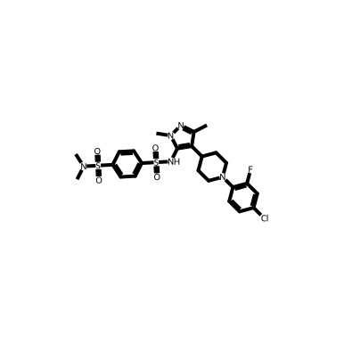 Cc1nn(C)c(NS(=O)(=O)c2ccc(S(=O)(=O)N(C)C)cc2)c1C1CCN(c2ccc(Cl)cc2F)CC1